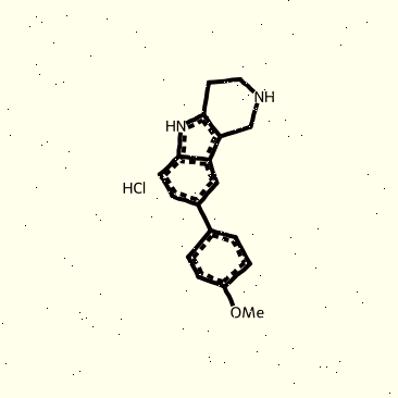 COc1ccc(-c2ccc3[nH]c4c(c3c2)CNCC4)cc1.Cl